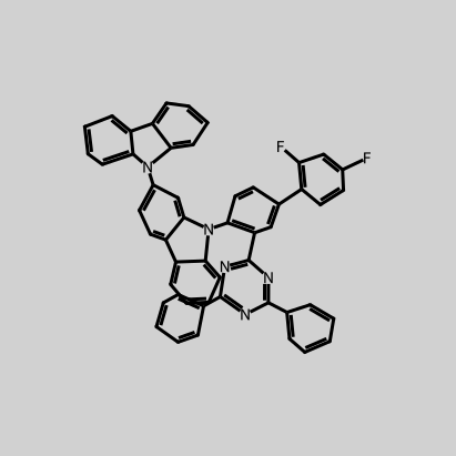 Fc1ccc(-c2ccc(-n3c4ccccc4c4ccc(-n5c6ccccc6c6ccccc65)cc43)c(-c3nc(-c4ccccc4)nc(-c4ccccc4)n3)c2)c(F)c1